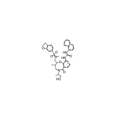 CC1CN(C(C)CO)C(=O)c2cccc(NC(=O)Nc3cccc4ccccc34)c2OC1CN(C)S(=O)(=O)c1ccc2c(c1)OCC2